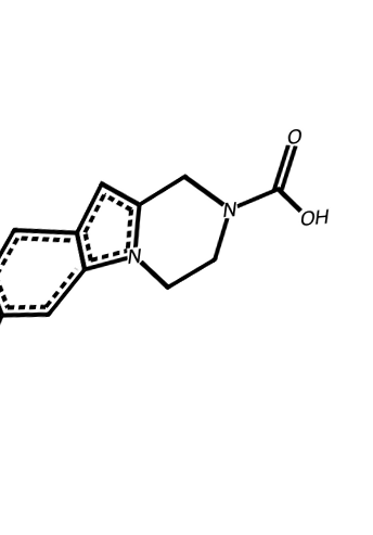 O=C(O)N1CCn2c(cc3ccc(Br)cc32)C1